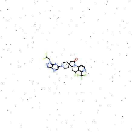 O=C1CC2(CCN(c3cnc4cnn(CC(F)F)c4n3)CC2)C2CC(F)c3c(ccnc3C(F)(F)F)N12